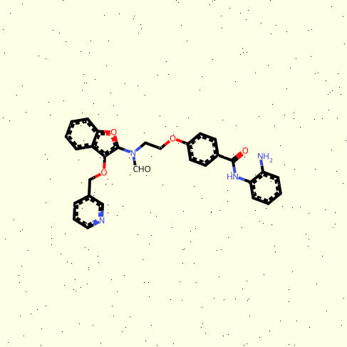 Nc1ccccc1NC(=O)c1ccc(OCCN(C=O)c2oc3ccccc3c2OCc2cccnc2)cc1